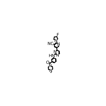 CN1CCN(C(=O)c2cccc(Nc3nccc(-c4cnc(N5CC[C@H](F)C5)c(C#N)c4)n3)c2)CC1